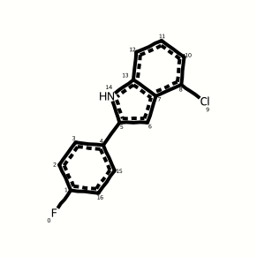 Fc1ccc(-c2cc3c(Cl)[c]ccc3[nH]2)cc1